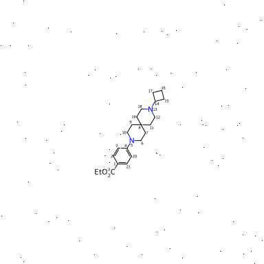 CCOC(=O)c1ccc(N2CCC3(CC2)CCN(C2CCC2)CC3)cc1